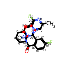 Cc1cnc(OC2CC3CCC2N(C(=O)c2ccc(F)cc2-c2ncccn2)C3)c(F)n1